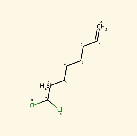 C=CCCCC[SiH2]C(Cl)Cl